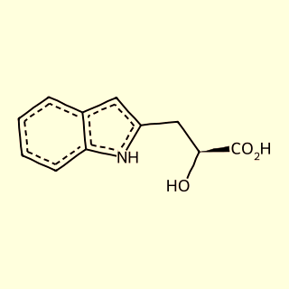 O=C(O)[C@@H](O)Cc1cc2ccccc2[nH]1